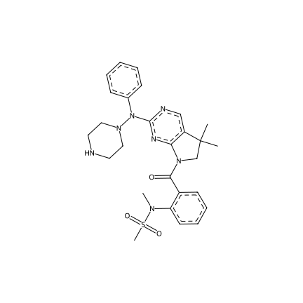 CN(c1ccccc1C(=O)N1CC(C)(C)c2cnc(N(c3ccccc3)N3CCNCC3)nc21)S(C)(=O)=O